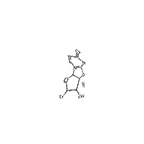 CCC1OC2[C@@H](Oc3nc(=O)ccn32)C1O